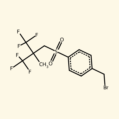 CC(CS(=O)(=O)c1ccc(CBr)cc1)(C(F)(F)F)C(F)(F)F